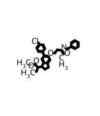 CCC(C(=O)OC)C1CCc2cc(OCCc3nc(-c4ccccc4)oc3C)c(-c3ccc(Cl)cc3)cc21